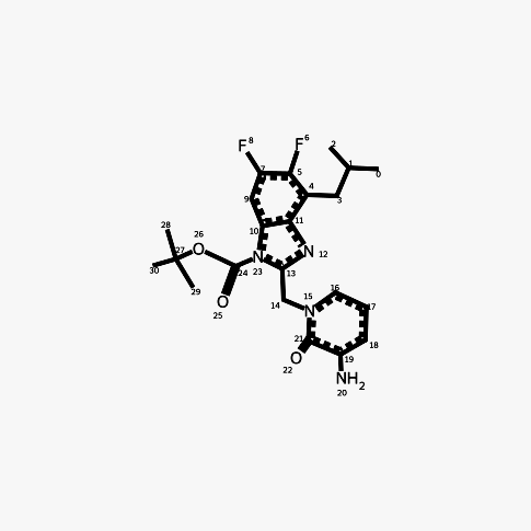 CC(C)Cc1c(F)c(F)cc2c1nc(Cn1cccc(N)c1=O)n2C(=O)OC(C)(C)C